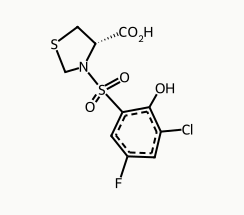 O=C(O)[C@H]1CSCN1S(=O)(=O)c1cc(F)cc(Cl)c1O